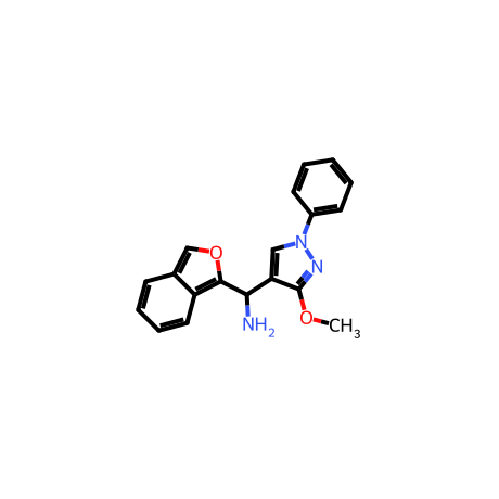 COc1nn(-c2ccccc2)cc1C(N)c1occ2ccccc12